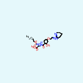 C=CCOC(=O)N[C@@H](CNC(=O)c1ccc(OCCNC2=NCCCCC2)cc1O)C(=O)O